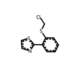 ClCSc1ccccc1-c1nccs1